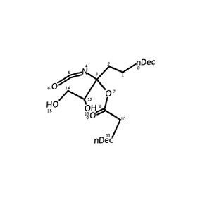 CCCCCCCCCCCCC(N=C=O)(OC(=O)CCCCCCCCCCC)C(O)CO